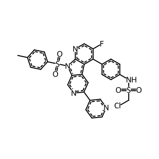 Cc1ccc(S(=O)(=O)n2c3cnc(-c4cccnc4)cc3c3c(-c4ccc(NS(=O)(=O)CCl)cc4)c(F)cnc32)cc1